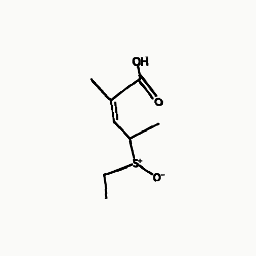 CC[S+]([O-])C(C)C=C(C)C(=O)O